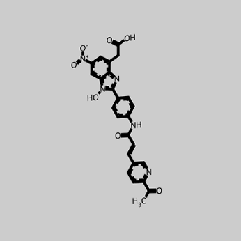 CC(=O)c1ccc(/C=C/C(=O)Nc2ccc(-c3nc4c(CC(=O)O)cc([N+](=O)[O-])cc4n3O)cc2)cn1